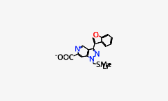 CSCn1nc(-c2coc3ccccc23)c2cnc(C(=O)[O-])cc21.[Li+]